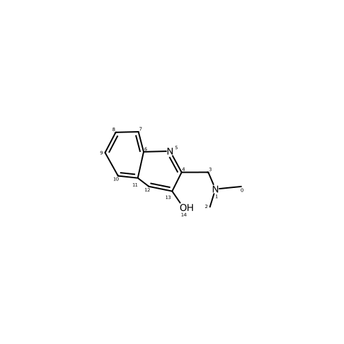 CN(C)Cc1nc2ccccc2cc1O